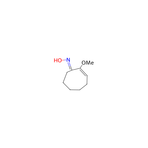 CO/C1=C/CCCCCC1=NO